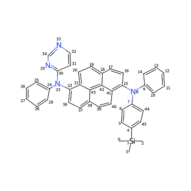 C[Si](C)(C)c1ccc(N(c2ccccc2)c2ccc3ccc4c(N(c5ccccc5)c5ccncn5)ccc5ccc2c3c54)cc1